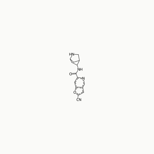 N#Cc1cc2cnc(C(=O)NC3CC4CC3CN4)cc2o1